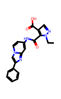 CCn1ncc(C(=O)O)c1C(=O)Nc1ccn2cc(-c3ccccc3)nc2c1